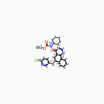 CC(C)(C)OC(=O)N[C@H]1CCCC[C@@H]1n1cnc2c(cc(Cc3ccc(Cl)nc3)c3ccccc32)c1=O